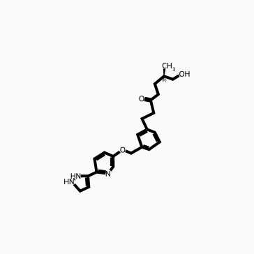 C[C@@H](CO)CCC(=O)CCc1cccc(COc2ccc(C3=CCNN3)nc2)c1